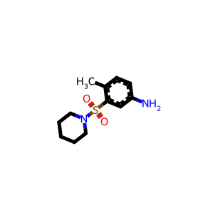 Cc1ccc(N)cc1S(=O)(=O)N1CCCCC1